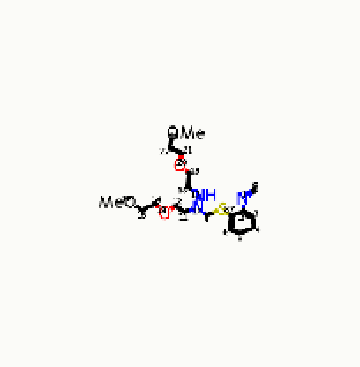 C=NC1=CCCC=C1SCN(CCOCCOC)NCCOCCOC